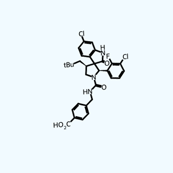 CC(C)(C)C[C@@H]1CN(C(=O)NCc2ccc(C(=O)O)cc2)[C@H](c2cccc(Cl)c2F)C12C(=O)Nc1cc(Cl)ccc12